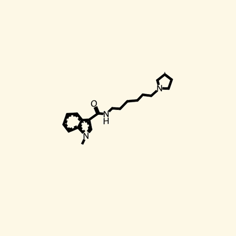 Cn1cc(C(=O)NCCCCCCN2C[CH]CC2)c2ccccc21